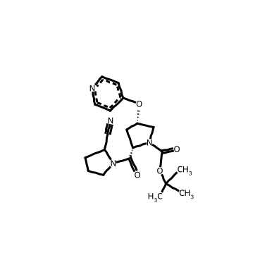 CC(C)(C)OC(=O)N1C[C@@H](Oc2ccncc2)C[C@H]1C(=O)N1CCCC1C#N